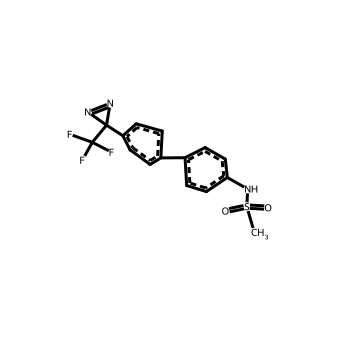 CS(=O)(=O)Nc1ccc(-c2ccc(C3(C(F)(F)F)N=N3)cc2)cc1